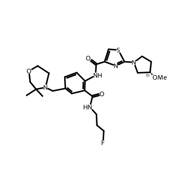 CO[C@H]1CCN(c2nc(C(=O)Nc3ccc(CN4CCOCC4(C)C)cc3C(=O)NCCCF)cs2)C1